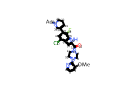 COc1cccnc1N1CCN(C(=O)c2cc3c(Cl)cc(C4=CCCN(C(C)=O)C4)c(F)c3[nH]2)CC1